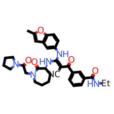 CCNC(=O)c1cccc(C(=O)C(C#N)=C(Nc2ccc3oc(C)cc3c2)N[C@H]2CCCCN(CC(=O)N3CCCC3)C2=O)c1